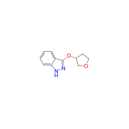 c1ccc2c(OC3CCOC3)n[nH]c2c1